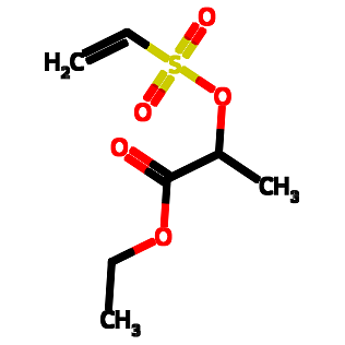 C=CS(=O)(=O)OC(C)C(=O)OCC